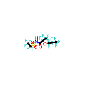 O=C(NS(=O)(=O)C(F)(F)C(F)(F)F)C(F)(OC(F)(F)C(F)(F)C(F)(F)F)C(F)(F)F